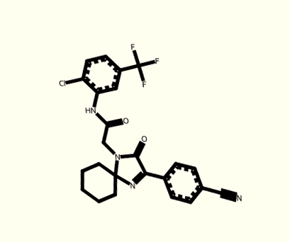 N#Cc1ccc(C2=NC3(CCCCC3)N(CC(=O)Nc3cc(C(F)(F)F)ccc3Cl)C2=O)cc1